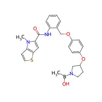 CB(O)N1CCC(Oc2ccc(OCc3ccccc3NC(=O)c3cc4sccc4n3C)cc2)C1